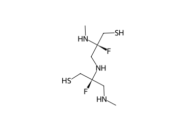 CNC[C@](F)(CS)NC[C@@](F)(CS)NC